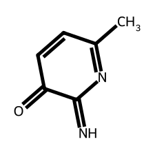 CC1=NC(=N)C(=O)C=C1